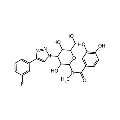 CN(C(=O)c1ccc(O)c(O)c1)C1OC(CO)C(O)C(n2cc(-c3cccc(F)c3)nn2)C1O